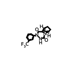 O=C1C2[C@H]3CC[C@H](C3)N2C(=O)NN1c1cccc(C(F)(F)F)c1